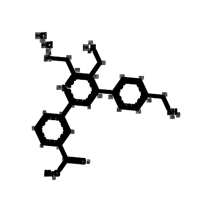 COC(=O)c1cccc(-c2cc(-c3ccc(CN)cc3)c(CN)c(CC(C)C)n2)c1.Cl.Cl